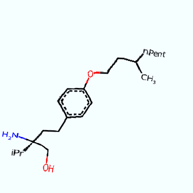 CCCCCC(C)CCOc1ccc(CC[C@@](N)(CO)C(C)C)cc1